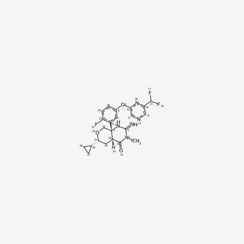 CN1C(=N)N[C@@]2(c3cc(Oc4cncc(C(F)F)n4)ccc3F)CO[C@@H](C3CC3)C[C@H]2C1=O